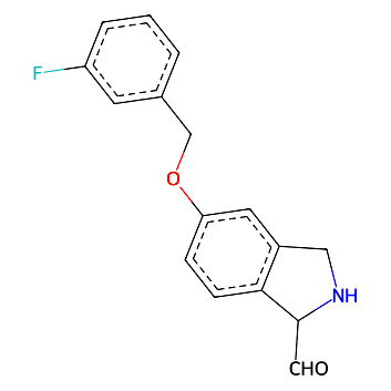 O=CC1NCc2cc(OCc3cccc(F)c3)ccc21